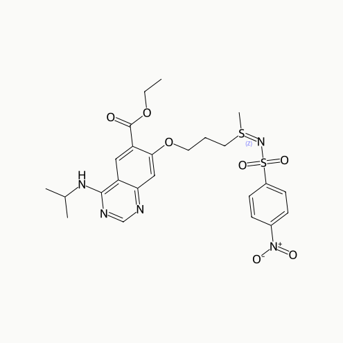 CCOC(=O)c1cc2c(NC(C)C)ncnc2cc1OCCC/S(C)=N\S(=O)(=O)c1ccc([N+](=O)[O-])cc1